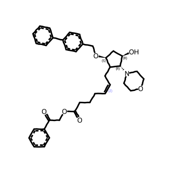 O=C(CCC/C=C\CC1[C@@H](OCc2ccc(-c3ccccc3)cc2)C[C@@H](O)[C@@H]1N1CCOCC1)OCC(=O)c1ccccc1